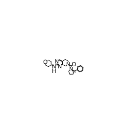 O=C(N1CCc2cnc(NC3CCOCC3)nc2C1)N1CCC[C@@H]1c1ccccc1